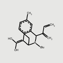 C=CC(=C)C1c2cc(C)cc3c2C(=C(O)O)C(C3)N1C(C)(C)C